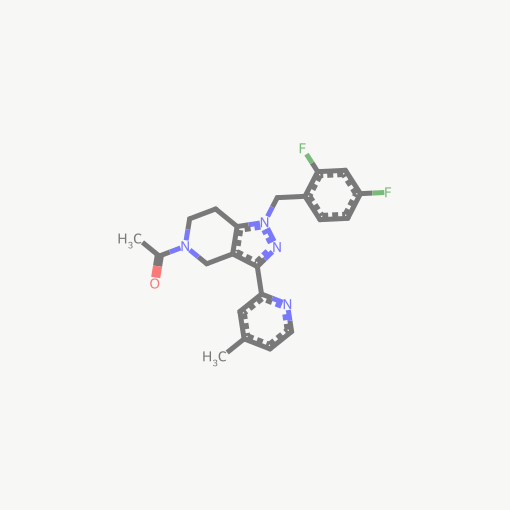 CC(=O)N1CCc2c(c(-c3cc(C)ccn3)nn2Cc2ccc(F)cc2F)C1